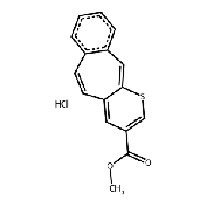 COC(=O)C1=CSC2=Cc3ccccc3C=CC2=C1.Cl